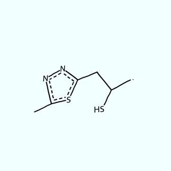 [CH2]C(S)Cc1nnc(C)s1